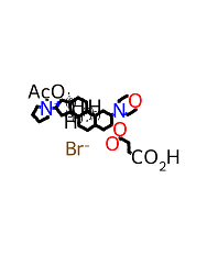 CC(=O)OC1C([N+]2(C)CCCC2)C[C@H]2[C@@H]3CCC4CC(OC(=O)CCC(=O)O)C(N5CCOCC5)C[C@]4(C)[C@@H]3CC[C@]12C.[Br-]